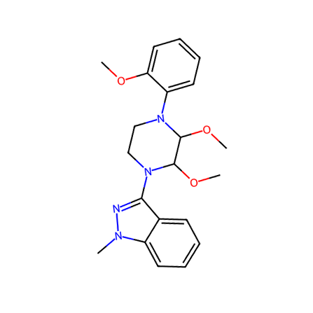 COc1ccccc1N1CCN(c2nn(C)c3ccccc23)C(OC)C1OC